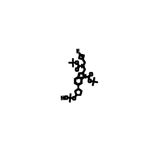 CC(C)(C)OC(=O)N(Cc1cc2ccc([C@H]3CCC(OC(C)(C)O)C3)cc2n1C(=O)OC(C)(C)C)CC12CC(F)(C1)C2